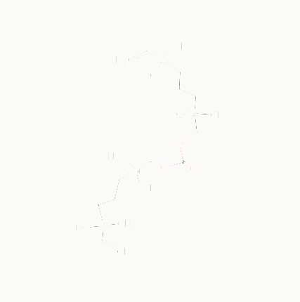 C=C[Si](C)(C)CCC[Si](C)(C)COC(=O)OC[Si](C)(C)CCC[Si](C)(C)C=C